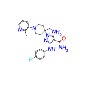 Cc1ncccc1N1CCC(CN)(n2cc(C(N)=O)c(Nc3ccc(F)cc3)n2)CC1